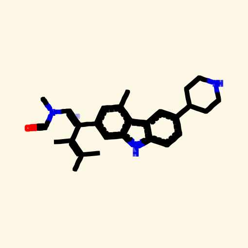 CC(C)=C(C)/C(=C\N(C)C=O)c1cc(C)c2c(c1)[nH]c1ccc(C3CCNCC3)cc12